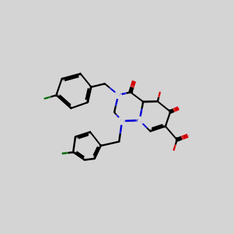 O=C(O)C1=CN2C(C(=O)N(Cc3ccc(F)cc3)CN2Cc2ccc(F)cc2)C(O)C1=O